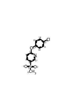 CS(=O)(=O)c1ccc(Oc2ccc(Cl)cc2)nc1